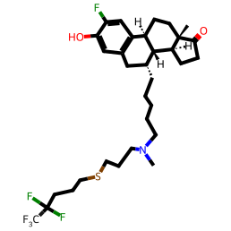 CN(CCCCC[C@@H]1Cc2cc(O)c(F)cc2[C@H]2CC[C@]3(C)C(=O)CC[C@H]3[C@H]12)CCCSCCCC(F)(F)C(F)(F)F